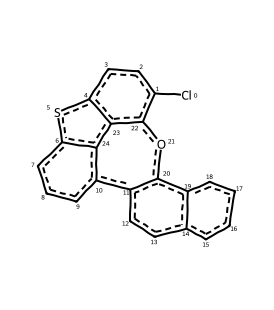 Clc1ccc2sc3cccc4c5ccc6ccccc6c5oc1c2c34